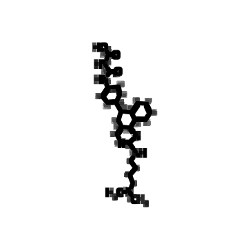 CN(C)CCCCNc1ncc2c(n1)-c1ccccc1C(c1ccc(NC(=O)NC(=O)O)cc1)C2